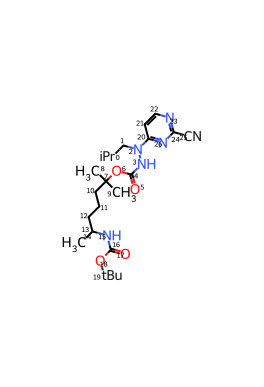 CC(C)CN(NC(=O)OC(C)(C)CCCC(C)NC(=O)OC(C)(C)C)c1ccnc(C#N)n1